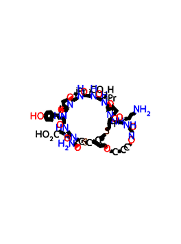 CC(C)C[C@@H]1NC(=O)[C@@H]2CCCN2C(=O)[C@@H]2CSCc3cc(cc(c3)OCCCCCCO/N=C/C(=O)N[C@@H](CCCCN)C(=O)N2)CSC[C@@H](C(N)=O)NC(=O)[C@H](CCC(=O)O)NC(=O)[C@H](CCc2ccc(O)cc2)NC(=O)[C@@H]2CCCN2C(=O)[C@H](CC(C)C)NC(=O)[C@H](CC(=O)O)NC1=O